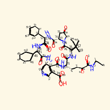 CCNC(=O)C(=O)CC[C@H](NC(=O)c1ccncc1C(=O)O)C(=O)N[C@H](C(=O)N1CC(=O)C[C@H]1C(=O)N[C@H](C(=O)N[C@H](C(N)=O)C1CCCCC1)C1CCCCC1)C(C)(C)C